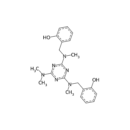 CN(C)c1nc(N(C)Cc2ccccc2O)nc(N(C)Cc2ccccc2O)n1